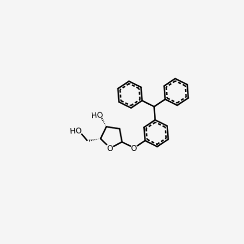 OC[C@H]1OC(Oc2cccc(C(c3ccccc3)c3ccccc3)c2)C[C@H]1O